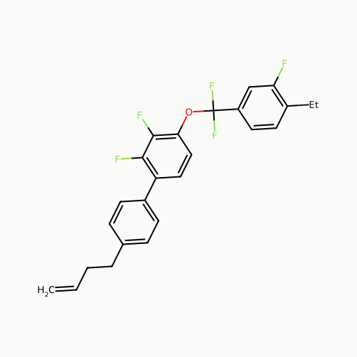 C=CCCc1ccc(-c2ccc(OC(F)(F)c3ccc(CC)c(F)c3)c(F)c2F)cc1